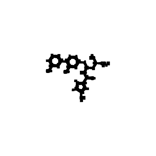 O=C(NN(Cc1ccc(-c2cccc(Cl)c2)c(Cl)c1)C[C@@H](O)C(=O)O)c1cc(O)no1